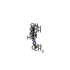 CC(=O)Nc1ccc(/C=N/Nc2ncnc3c2ncn3[C@@H]2O[C@H](CO)C(O)[C@@H]2O)cc1